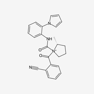 C[C@@H]1CCC[N+]1(C(=O)Nc1ccccc1-n1cccc1)C(=O)c1ccccc1C#N